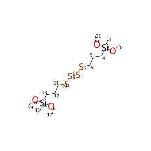 CO[Si](C)(CCCSSSSCCC[Si](C)(OC)OC)OC